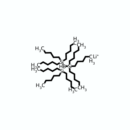 CCCCC[Si](CCCCC)(CCCCC)[BH-]([Si](CCCCC)(CCCCC)CCCCC)[Si](CCCCC)(CCCCC)CCCCC.[Li+]